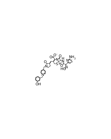 Nc1nc(/C(=N/O)C(=O)N[C@@H]2C(=O)N3C(C(=O)[O-])=C(C=C4CCN(Cc5cc[n+](Cc6cccc(O)c6)cc5)C4=O)CS[C@H]23)cs1